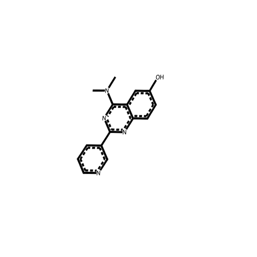 CN(C)c1nc(-c2cccnc2)nc2ccc(O)cc12